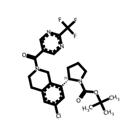 CC(C)(C)OC(=O)N1CCC[C@H]1c1cc(Cl)cc2c1CN(C(=O)c1cnc(C(F)(F)F)nc1)CC2